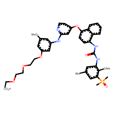 COc1cc(Nc2cc(Oc3ccc(NC(=O)Nc4cc(C(C)(C)C)cc(P(C)(C)=O)c4OC)c4ccccc34)ccn2)cc(OCCOCCOCC(=O)O)c1